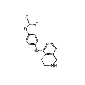 FC(F)Oc1ccc(Nc2ncnc3c2CCNC3)cc1